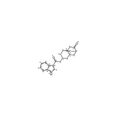 O=C(CC1CC2CC3CC(C1)N2CC3=O)c1c[nH]c2ccccc12